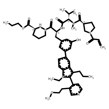 C=CC(=O)N1CC[C@H](C(=O)N(C)[C@H](C(=O)N[C@@H](Cc2cc(O)cc(-c3ccc4c(c3)c(CCC)c(-c3ccncc3CCOC)n4CC)c2)C(=O)N2CCC[C@@H](C(=O)OCCC)N2)C(C)C)C1